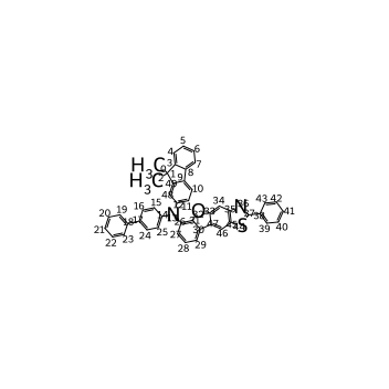 CC1(C)c2ccccc2-c2ccc(N(c3ccc(-c4ccccc4)cc3)c3cccc4c3oc3cc5nc(-c6ccccc6)sc5cc34)cc21